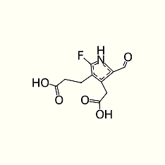 O=Cc1[nH]c(F)c(CCC(=O)O)c1CC(=O)O